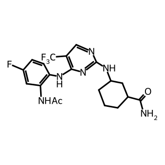 CC(=O)Nc1cc(F)ccc1Nc1nc(NC2CCCC(C(N)=O)C2)ncc1C(F)(F)F